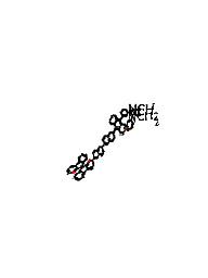 C=Cc1nc(-c2cccc(-c3c4ccccc4c(-c4ccc5cc(-c6ccc7cc(-c8ccc9c(c8)C8(c%10ccccc%10-c%10ccccc%108)c8ccccc8-9)ccc7c6)ccc5c4)c4ccccc34)c2)n(-c2ccccc2)c1C=C